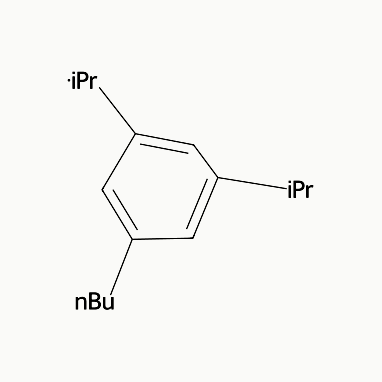 CCCCc1cc([C](C)C)cc(C(C)C)c1